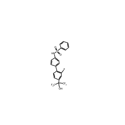 O=S(=O)(Nc1ccc(-c2ccc(C(O)(C(F)(F)F)C(F)(F)F)cc2F)cc1)c1ccccc1